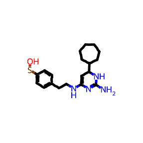 NC1=NC(NCCc2ccc(SO)cc2)=CC(C2CCCCCC2)N1